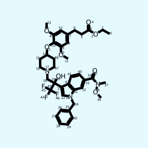 CCOC(=O)CCc1cc(OC)c(OC2CCN(CC(O)(c3cn(Cc4ccccc4)c4cc(C(=O)N(C)OC)ccc34)C(F)(F)F)CC2)c(OC)c1